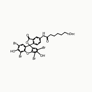 CCCCCCCCCCCCCCCC(=O)Nc1ccc2c(c1)C(=O)OC21c2cc(Br)c(O)c(Br)c2Oc2c1cc(Br)c(O)c2Br